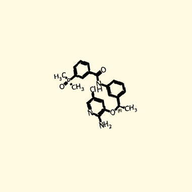 C[C@@H](Oc1cc(Cl)cnc1N)c1cccc(NC(=O)c2cccc(P(C)(C)=O)c2)c1